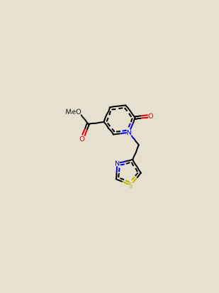 COC(=O)c1ccc(=O)n(Cc2cscn2)c1